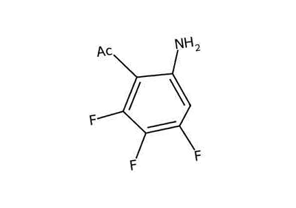 CC(=O)c1c(N)cc(F)c(F)c1F